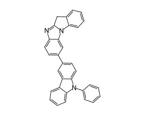 c1ccc(-n2c3ccccc3c3cc(-c4ccc5nc6n(c5c4)-c4ccccc4C6)ccc32)cc1